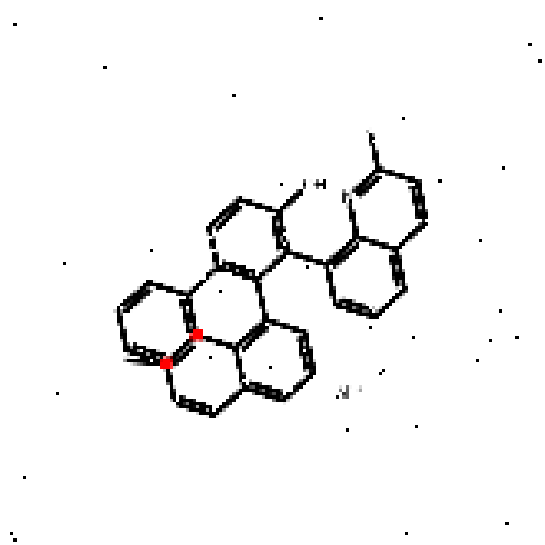 Cc1ccc2cccc(-c3c(O)ccc(-c4ccccc4)c3-c3cccc4ccc(C)nc34)c2n1.[Al+3]